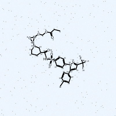 CCC(=O)OCOn1on1N1CCCC(C(=O)NS(=O)(=O)c2ccc(-n3nc(C(F)(F)F)cc3-c3ccc(C)cc3)cc2)C1